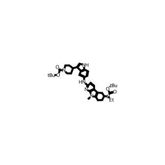 CCN(C(=O)OC(C)(C)C)C1CCc2c(c3ccc(Nc4ccc5[nH]cc(C6CCN(C(=O)OC(C)(C)C)CC6)c5c4)nc3n2C)C1